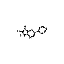 O=c1[nH]c2ncc(-c3ccncc3)nc2[nH]1